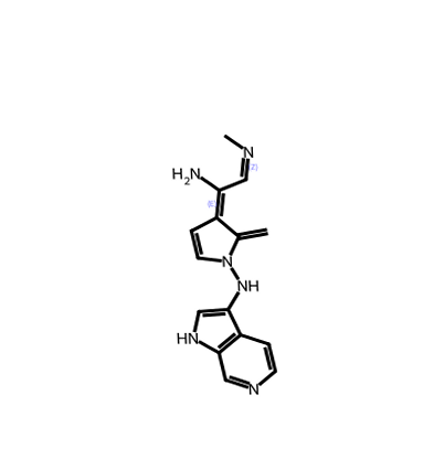 C=c1/c(=C(N)\C=N/C)ccn1Nc1c[nH]c2cnccc12